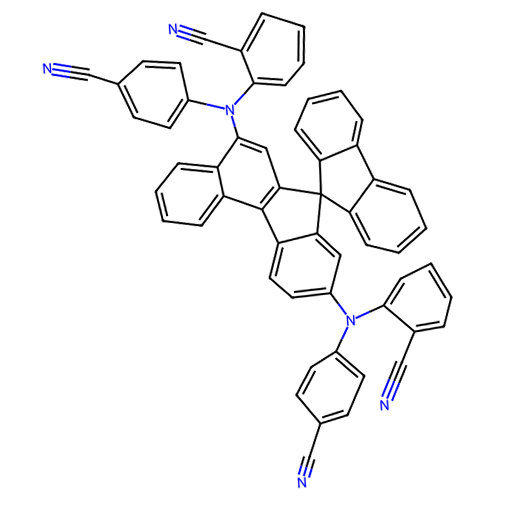 N#Cc1ccc(N(c2ccc3c(c2)C2(c4ccccc4-c4ccccc42)c2cc(N(c4ccc(C#N)cc4)c4ccccc4C#N)c4ccccc4c2-3)c2ccccc2C#N)cc1